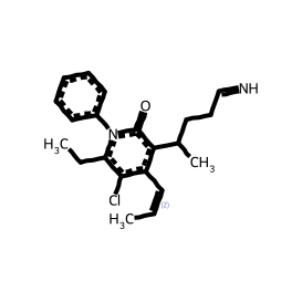 C/C=C\c1c(Cl)c(CC)n(-c2ccccc2)c(=O)c1C(C)CCC=N